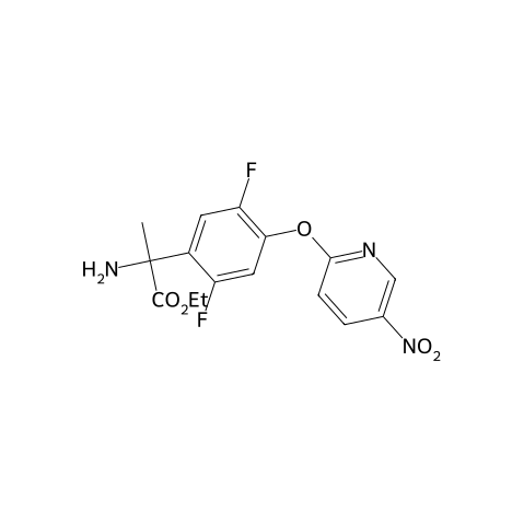 CCOC(=O)C(C)(N)c1cc(F)c(Oc2ccc([N+](=O)[O-])cn2)cc1F